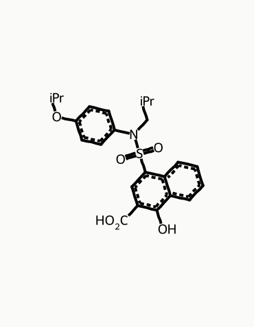 CC(C)CN(c1ccc(OC(C)C)cc1)S(=O)(=O)c1cc(C(=O)O)c(O)c2ccccc12